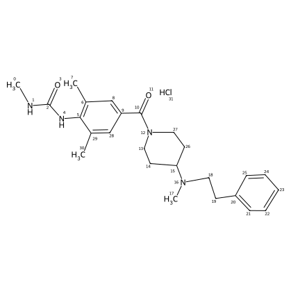 CNC(=O)Nc1c(C)cc(C(=O)N2CCC(N(C)CCc3ccccc3)CC2)cc1C.Cl